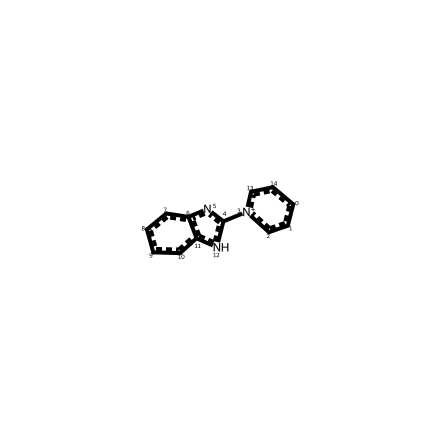 c1cc[n+](-c2nc3ccccc3[nH]2)cc1